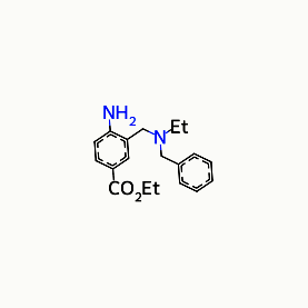 CCOC(=O)c1ccc(N)c(CN(CC)Cc2ccccc2)c1